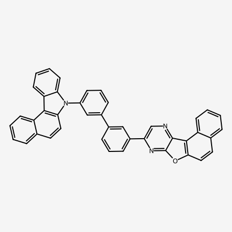 c1cc(-c2cccc(-n3c4ccccc4c4c5ccccc5ccc43)c2)cc(-c2cnc3c(n2)oc2ccc4ccccc4c23)c1